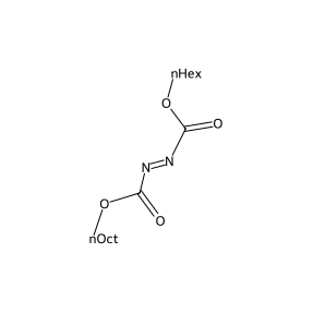 CCCCCCCCOC(=O)N=NC(=O)OCCCCCC